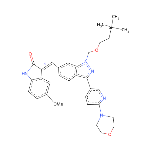 COc1ccc2c(c1)/C(=C\c1ccc3c(-c4ccc(N5CCOCC5)nc4)nn(COCC[Si](C)(C)C)c3c1)C(=O)N2